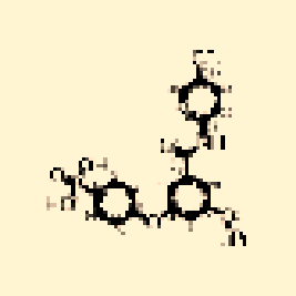 CC(C)Oc1cc(Oc2ccc(P(=O)(O)O)cc2)cc(C(=O)Nc2ccc(C(F)(F)F)cn2)c1